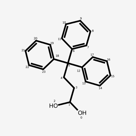 OC(O)CCC(c1ccccc1)(c1ccccc1)c1ccccc1